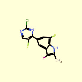 Cc1[nH]c2c(F)cc(-c3nc(Cl)ncc3F)cc2c1I